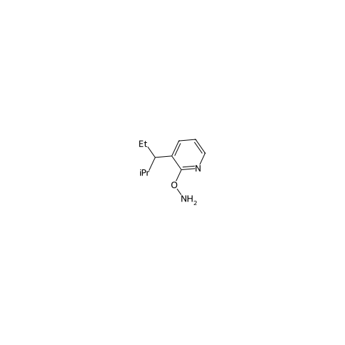 CCC(c1cccnc1ON)C(C)C